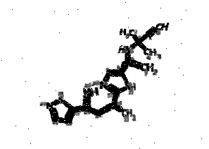 C#CC(C)(C)NC(=C)c1cnc(/C(C)=C\C(=N)c2ccns2)[nH]1